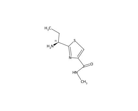 CC[C@H](N)c1nc(C(=O)NC)cs1